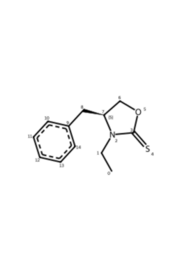 CCN1C(=S)OC[C@@H]1Cc1ccccc1